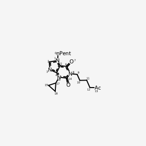 CCCCCn1cnc2c1c(=O)n(CCCCC(C)=O)c(=O)n2C1CC1